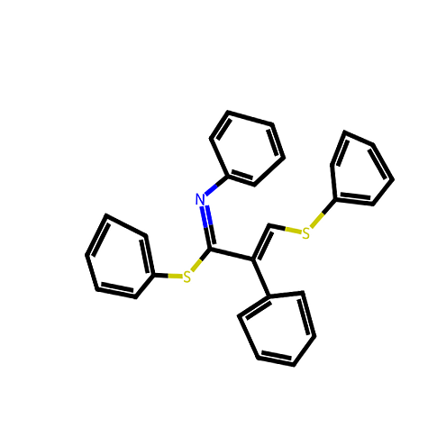 C(/Sc1ccccc1)=C(\C(=N/c1ccccc1)Sc1ccccc1)c1ccccc1